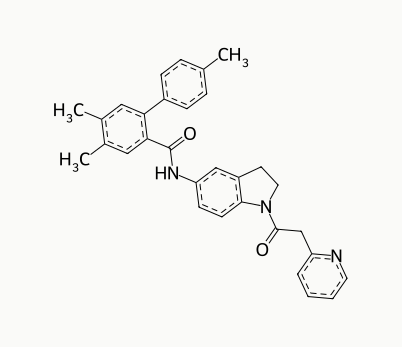 Cc1ccc(-c2cc(C)c(C)cc2C(=O)Nc2ccc3c(c2)CCN3C(=O)Cc2ccccn2)cc1